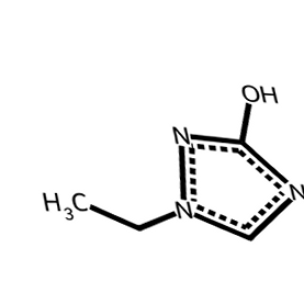 CCn1cnc(O)n1